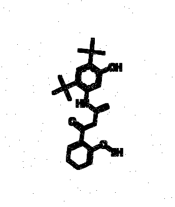 C=C(CC(=O)C1=CCCC=C1OS)Nc1cc(O)c(C(C)(C)C)cc1C(C)(C)C